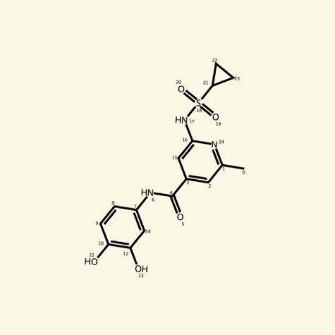 Cc1cc(C(=O)Nc2ccc(O)c(O)c2)cc(NS(=O)(=O)C2CC2)n1